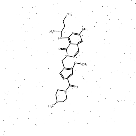 CCC[C@@H](C)Nc1nc(N)nc2ccn(Cc3ccc(C(=O)N4CCN(C)CC4)cc3OC)c(=O)c12